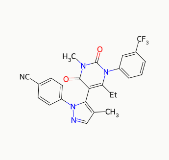 CCc1c(-c2c(C)cnn2-c2ccc(C#N)cc2)c(=O)n(C)c(=O)n1-c1cccc(C(F)(F)F)c1